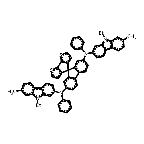 CCn1c2cc(C)ccc2c2ccc(N(c3ccccc3)c3ccc4c(c3)C3(c5cc(N(c6ccccc6)c6ccc7c8ccc(C)cc8n(CC)c7c6)ccc5-4)c4ccsc4-c4sccc43)cc21